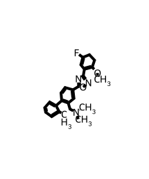 COC1=C(c2noc(-c3ccc(-c4ccccc4C)c(CN(C)C)c3)n2)C=C(F)CC1